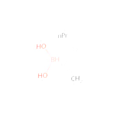 C=CCCCC.OBO